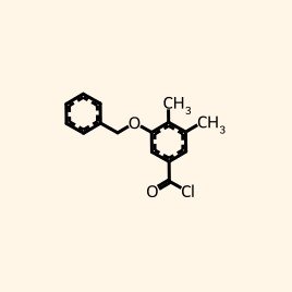 Cc1cc(C(=O)Cl)cc(OCc2ccccc2)c1C